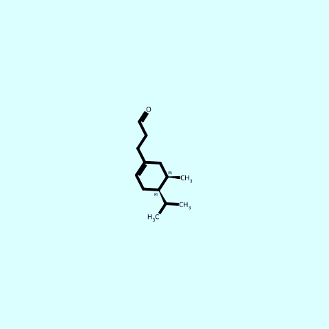 CC(C)[C@H]1CC=C(CCC=O)C[C@H]1C